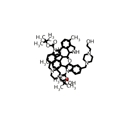 Cc1ccc(-c2cc3cc(CN4CCN(CCO)CC4)ccc3n2C(=O)OC(C)(C)C)c2c1CNC2C(=O)C1NCc2c(C)ccc(-c3cc4cc(CN5CCN(CCO)CC5)ccc4n3C(=O)OC(C)(C)C)c21